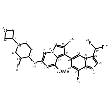 COc1nc(N[C@@H]2CCN(C3COC3)C[C@@H]2F)nn2cc(F)c(-c3cc(F)c4ncc(C(F)F)n4c3)c12